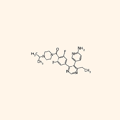 CCc1ncnc(-c2cc(F)c(C(=O)N3CCN(C(C)C)CC3)c(F)c2)c1-c1ccc(N)nc1